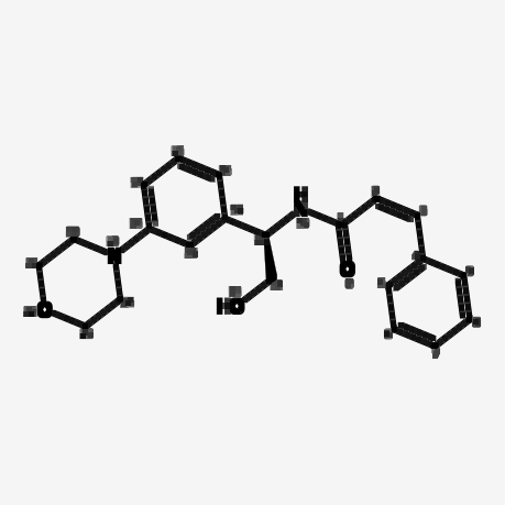 O=C(/C=C\c1ccccc1)N[C@@H](CO)c1cccc(N2CCOCC2)c1